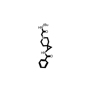 CC(C)(C)NC(=O)CN1CCC2(CC1)CC2NC(=O)c1ccccc1